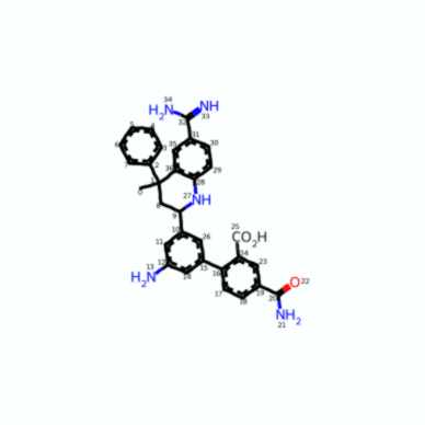 CC1(c2ccccc2)CC(c2cc(N)cc(-c3ccc(C(N)=O)cc3C(=O)O)c2)Nc2ccc(C(=N)N)cc21